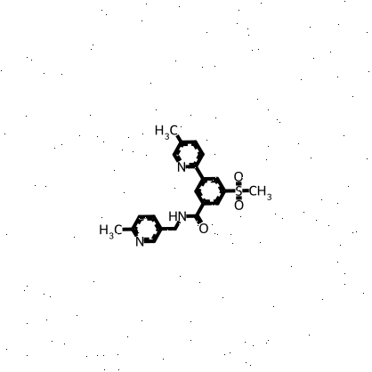 Cc1ccc(-c2cc(C(=O)NCc3ccc(C)nc3)cc(S(C)(=O)=O)c2)nc1